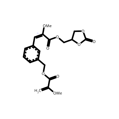 C=C(OC)C(=O)OCc1cccc(/C=C(/OC)C(=O)OCC2COC(=O)O2)c1